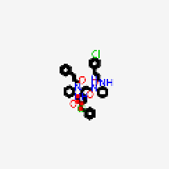 O=C(C=Cc1ccc(Cl)cc1)N[C@H]1CCCC[C@@H]1NC(=O)C=C(c1ccc(Cl)cc1)N(C(=O)/C=C/c1ccccc1)[C@H]1CCCC[C@@H]1NC(=O)/C=C/c1ccccc1